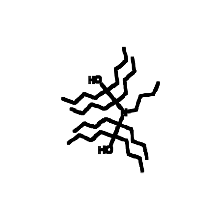 CCCCN(C(CCCC)(CCCC)C(O)(CCCC)CCCC)C(CCCC)(CCCC)C(O)(CCCC)CCCC